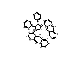 c1ccc(C2C(c3ccccc3)N(c3cccc4cc5ccccc5cc34)CN2c2cccc3cc4ccccc4cc23)cc1